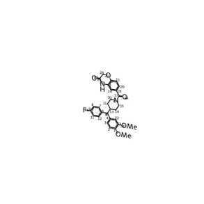 COc1ccc([C@@H](c2ccc(F)cc2)C2CCN(C(=O)c3ccc4c(c3)NC(=O)CO4)CC2)cc1OC